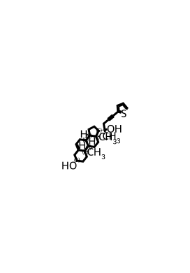 CC(O)(CC#Cc1cccs1)[C@H]1CC[C@H]2[C@@H]3CC=C4C[C@@H](O)CC[C@]4(C)[C@H]3CC[C@]12C